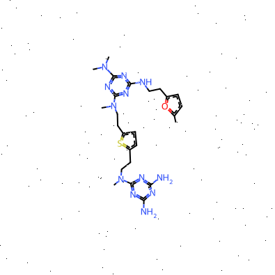 Cc1ccc(CCNc2nc(N(C)C)nc(N(C)CCc3ccc(CCN(C)c4nc(N)nc(N)n4)s3)n2)o1